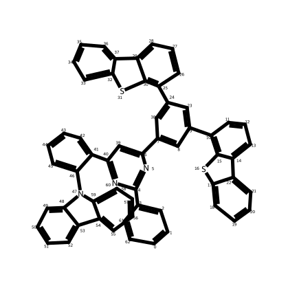 c1ccc(-c2nc(-c3cc(-c4cccc5c4sc4ccccc45)cc(-c4cccc5c4sc4ccccc45)c3)cc(-c3ccccc3-n3c4ccccc4c4ccccc43)n2)cc1